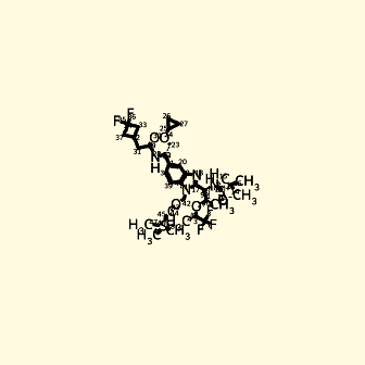 C[C@@H](O[C@H](C)C(F)(F)F)[C@H](N[S@+]([O-])C(C)(C)C)c1nc2cc([C@@H](COC3CC3)NC(=O)CC3CC(F)(F)C3)ccc2n1COCC[Si](C)(C)C